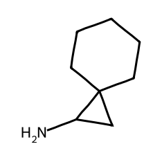 NC1CC12CCCCC2